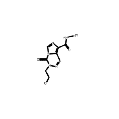 CCCNC(=O)c1ncn2c(=O)n(CCCl)nnc12